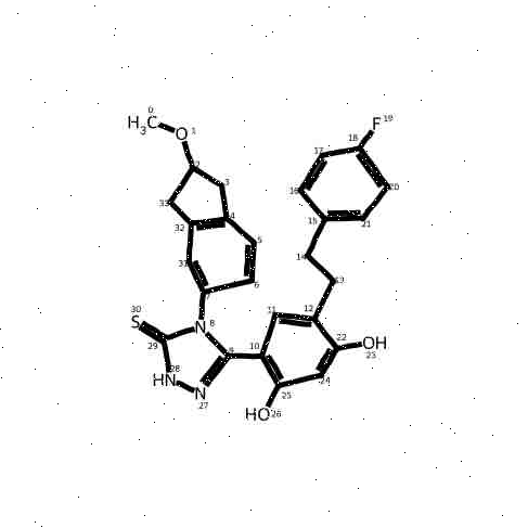 COC1Cc2ccc(-n3c(-c4cc(CCc5ccc(F)cc5)c(O)cc4O)n[nH]c3=S)cc2C1